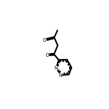 CC(=O)CC(=O)c1cccnn1